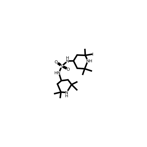 CC1(C)CC(NS(=O)(=O)NC2CC(C)(C)NC(C)(I)C2)CC(C)(C)N1